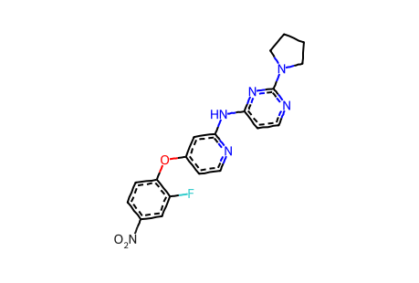 O=[N+]([O-])c1ccc(Oc2ccnc(Nc3ccnc(N4CCCC4)n3)c2)c(F)c1